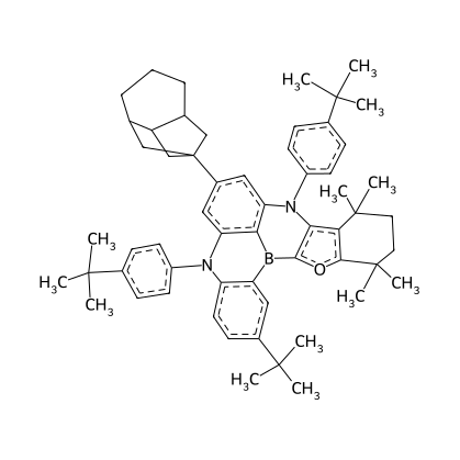 CC(C)(C)c1ccc(N2c3ccc(C(C)(C)C)cc3B3c4oc5c(c4N(c4ccc(C(C)(C)C)cc4)c4cc(C67CC8CCCC(C6)C8C7)cc2c43)C(C)(C)CCC5(C)C)cc1